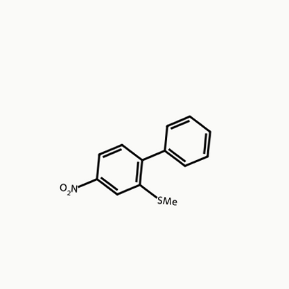 CSc1cc([N+](=O)[O-])ccc1-c1ccccc1